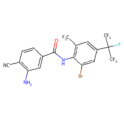 N#Cc1ccc(C(=O)Nc2c(Br)cc(C(F)(C(F)(F)F)C(F)(F)F)cc2C(F)(F)F)cc1N